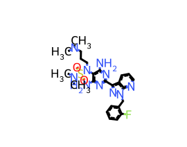 CN(C)CCCN(c1c(N)nc(-c2nn(Cc3ccccc3F)c3ncccc23)nc1N)S(=O)(=O)N(C)C